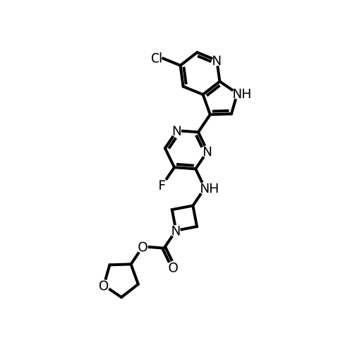 O=C(OC1CCOC1)N1CC(Nc2nc(-c3c[nH]c4ncc(Cl)cc34)ncc2F)C1